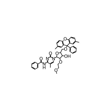 COCCOC1C(O)C(COC2(c3ccccc3)c3cc(C)ccc3Oc3ccc(C)cc32)OC1n1cc(C)c(NC(=O)c2ccccc2)nc1=O